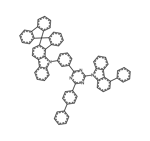 c1ccc(-c2ccc(-c3nc(-c4cccc(-n5c6ccccc6c6ccc7c(c65)-c5ccccc5C75c6ccccc6-c6ccccc65)c4)nc(-n4c5ccccc5c5c(-c6ccccc6)cccc54)n3)cc2)cc1